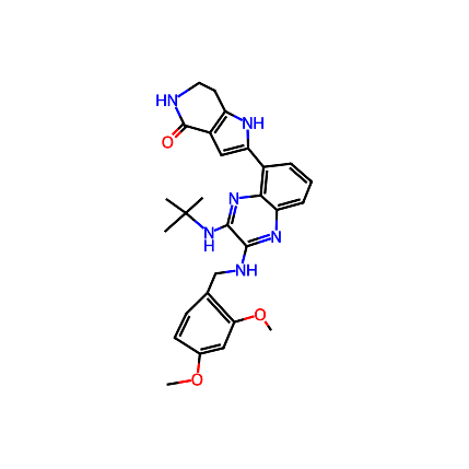 COc1ccc(CNc2nc3cccc(-c4cc5c([nH]4)CCNC5=O)c3nc2NC(C)(C)C)c(OC)c1